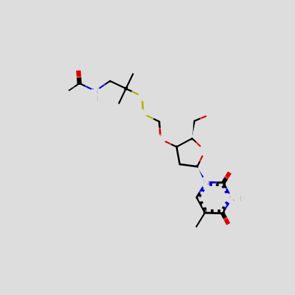 Cc1cn([C@H]2CC(OCSSC(C)(C)CNC(=O)C(F)(F)F)[C@@H](CO)O2)c(=O)[nH]c1=O